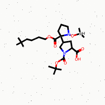 C[SiH](C)ON1CCCC1(C(=O)OCCCCC(C)(C)C)C1CC(C(=O)O)N(C(=O)OC(C)(C)C)C1